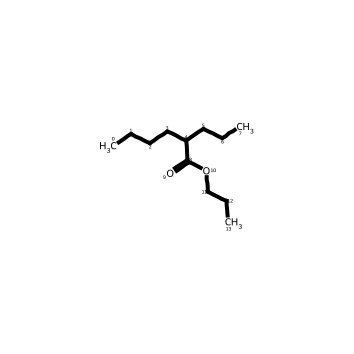 CCCCC(CCC)C(=O)OCCC